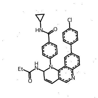 CCC(=O)NC1C=Cc2cnc3ccc(-c4ccc(Cl)cc4)cc3c2N1c1ccc(C(=O)NC2CC2)cc1